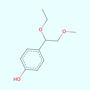 CCOC(COC)c1ccc(O)cc1